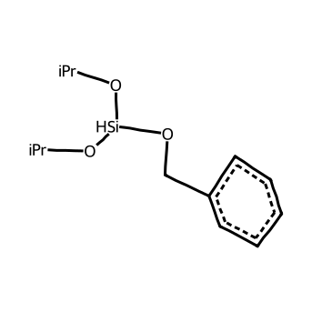 CC(C)O[SiH](OCc1ccccc1)OC(C)C